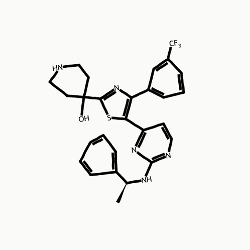 C[C@H](Nc1nccc(-c2sc(C3(O)CCNCC3)nc2-c2cccc(C(F)(F)F)c2)n1)c1ccccc1